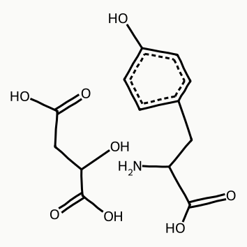 NC(Cc1ccc(O)cc1)C(=O)O.O=C(O)CC(O)C(=O)O